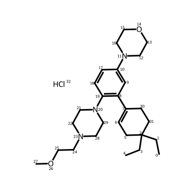 CCC1(CC)CC=C(c2cc(N3CCOCC3)ccc2N2CCN(CCOC)CC2)CC1.Cl